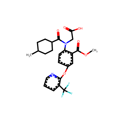 COC(=O)c1cc(Oc2ncccc2C(F)(F)F)ccc1N(CC(=O)O)C(=O)C1CCC(C)CC1